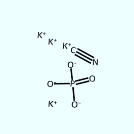 O=P([O-])([O-])[O-].[C-]#N.[K+].[K+].[K+].[K+]